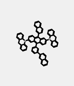 c1cc(-c2ccc3ccccc3c2)cc(-c2c3ccc(N4c5ccccc5Cc5ccccc54)cc3c(-c3ccc4ccccc4c3)c3ccc(N4c5ccccc5Cc5ccccc54)cc23)c1